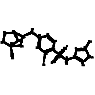 Cc1cc(NS(=O)(=O)c2ccc(O[C@H]3C[C@@H]4CCC3C4)cc2F)no1